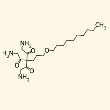 CCCCCCCCCCOCCCC(C(=O)CN)(C(=O)CN)C(=O)CN